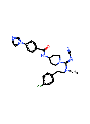 CN(CCc1ccc(Cl)cc1)/C(=N/C#N)N1CCC(NC(=O)c2ccc(-n3ccnc3)cc2)CC1